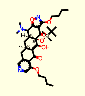 CCCCOc1cncc2c1C(=O)C1=C(O)[C@]3(O[Si](C)(C)C(C)(C)C)C(=O)c4c(OCCCC)noc4C(N(C)C)[C@@H]3C[C@]1(C)C2